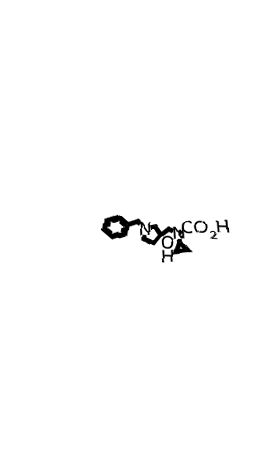 O=C(O)N(CC1(O)CCN(Cc2ccccc2)C1)C1CC1